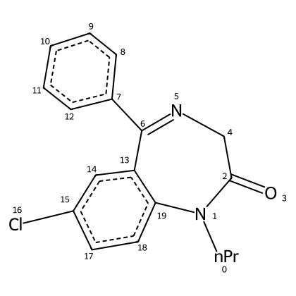 CCCN1C(=O)CN=C(c2ccccc2)c2cc(Cl)ccc21